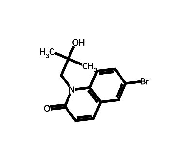 CC(C)(O)Cn1c(=O)ccc2cc(Br)ccc21